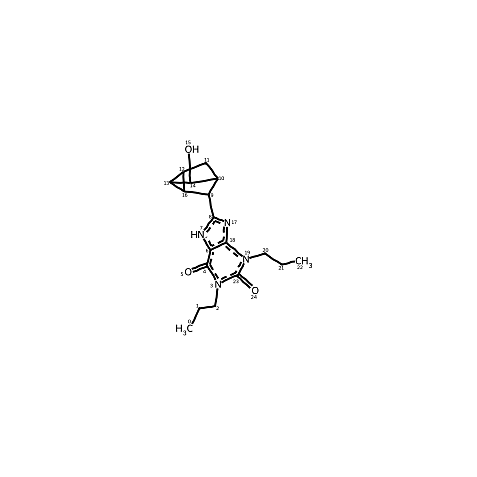 CCCn1c(=O)c2[nH]c(C3C4CC5C(C4O)C53)nc2n(CCC)c1=O